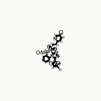 COc1cccc(OC)c1-n1c(NS(=O)(=O)CCc2ccc(Cl)cn2)nnc1-c1ccc(C)o1